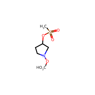 CS(=O)(=O)OC1CCN(OC(=O)O)C1